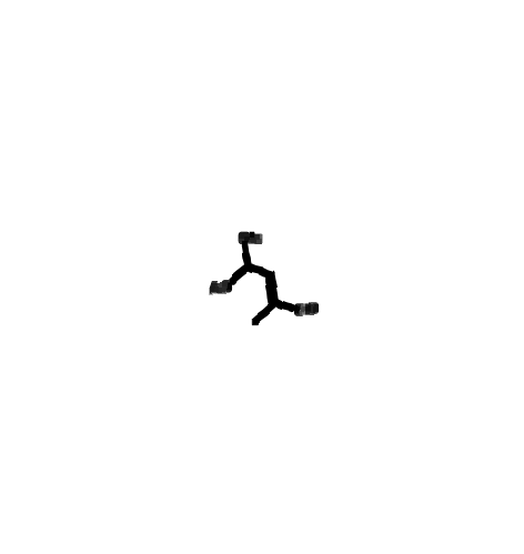 CC(=O)OC(/C=C(\C)C=O)OC(C)=O